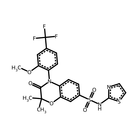 COc1cc(C(F)(F)F)ccc1N1C(=O)C(C)(C)Oc2cc(S(=O)(=O)Nc3nccs3)ccc21